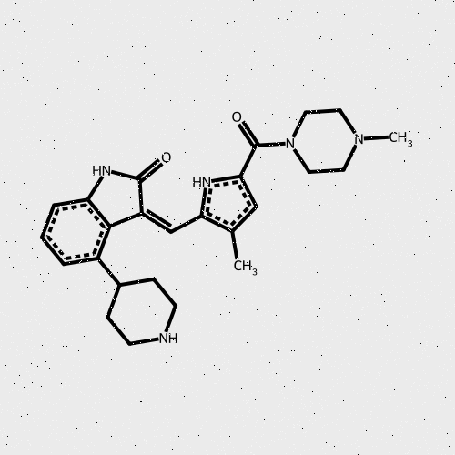 Cc1cc(C(=O)N2CCN(C)CC2)[nH]c1C=C1C(=O)Nc2cccc(C3CCNCC3)c21